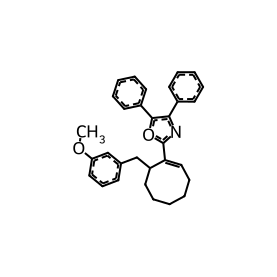 COc1cccc(CC2CCCCCC=C2c2nc(-c3ccccc3)c(-c3ccccc3)o2)c1